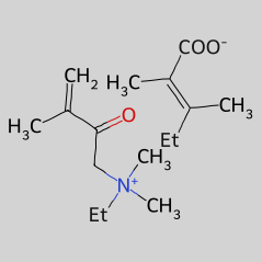 C=C(C)C(=O)C[N+](C)(C)CC.CCC(C)=C(C)C(=O)[O-]